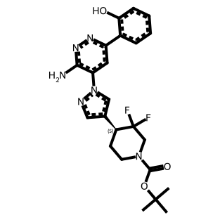 CC(C)(C)OC(=O)N1CC[C@@H](c2cnn(-c3cc(-c4ccccc4O)nnc3N)c2)C(F)(F)C1